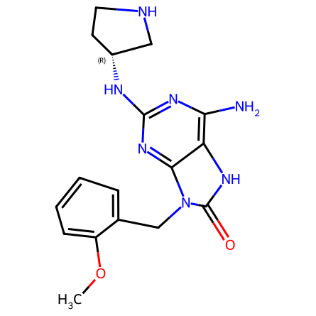 COc1ccccc1Cn1c(=O)[nH]c2c(N)nc(N[C@@H]3CCNC3)nc21